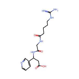 N=C(N)NCCCCC(=O)NCC(=O)NC(CC(=O)O)c1cccnc1